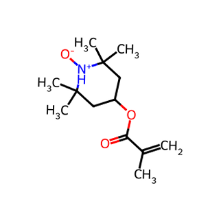 C=C(C)C(=O)OC1CC(C)(C)[NH+]([O-])C(C)(C)C1